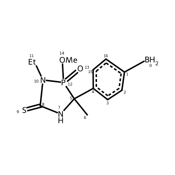 Bc1ccc(C2(C)NC(=S)N(CC)P2(=O)OC)cc1